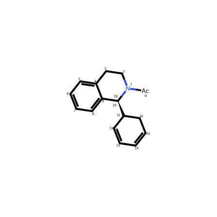 CC(=O)N1CCc2ccccc2[C@@H]1C1C=CC=CC1